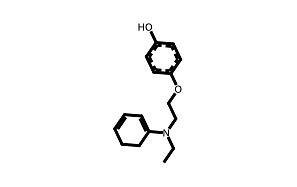 CCN(CCOc1ccc(O)cc1)C1=CC=CCC1